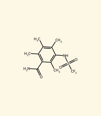 Cc1c(C)c(NS(=O)(=O)C(F)(F)F)c(C)c(C(N)=O)c1C